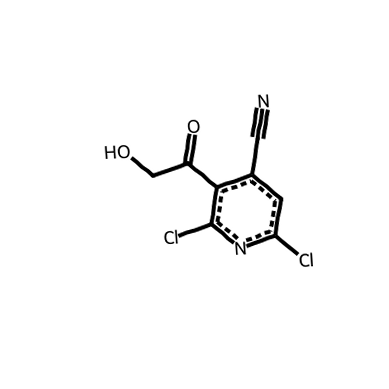 N#Cc1cc(Cl)nc(Cl)c1C(=O)CO